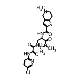 CN1CCc2sc(C(=O)NC(CNC(=O)C(=O)Nc3ccc(Cl)cn3)C(=O)N(C)C)cc2C1